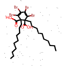 CCCCCCCCCCC1(C(=O)O)C(Br)=C(Br)C(Br)=C(Br)C1(CCCCCCCCCC)C(=O)O